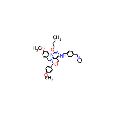 CCCCOc1nc(NCc2ccc(CN3CCCC3)cc2)c(C=O)c(N(Cc2ccc(OC)cc2)Cc2ccc(OC)cc2)n1